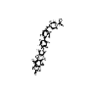 CC(=O)N1CCN(Cc2ccc(-c3ccc(N4CC[C@@H](Oc5c(C)nc6nc(C)nn6c5C)C4)cc3)nn2)CC1